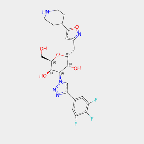 OC[C@H]1O[C@H](Cc2cc(C3CCNCC3)on2)[C@H](O)[C@@H](n2cc(-c3cc(F)c(F)c(F)c3)nn2)[C@H]1O